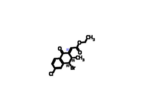 CCOC(=O)/C=C1/C(=O)c2ccc(Cl)cc2[C@H](Br)[C@@H]1C